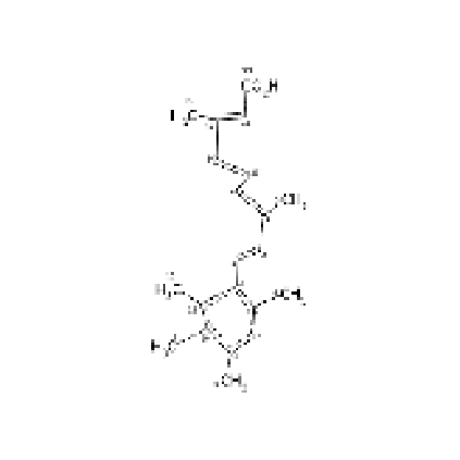 CC(C=Cc1c(C)cc(C)c(C)c1C)=CC=CC(C)=CC(=O)O